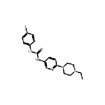 CCN1CCN(c2ccc(NC(=O)Nc3ccc(F)cc3)cn2)CC1